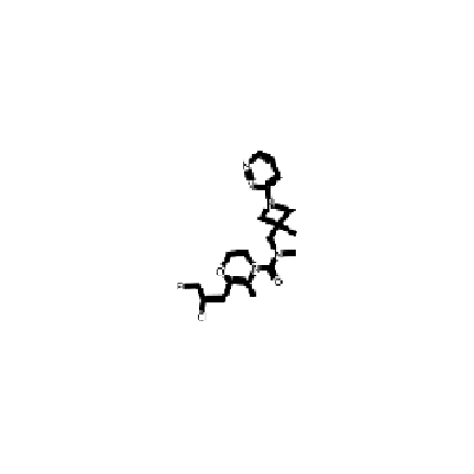 CC1=C(/C=C(/Cl)CF)OCCN1C(=O)N(C)CC1(C)CN(c2cccnn2)C1